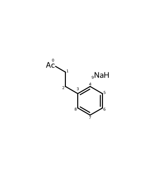 CC(=O)CCc1ccccc1.[NaH]